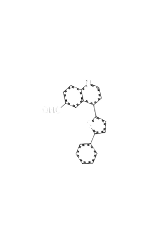 O=Cc1ccc2nccc(-c3ccc(-c4ccccc4)s3)c2c1